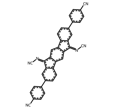 N#C/N=c1\c2cc(-c3ccc(C#N)cc3)ccc2c2cc3/c(=N/C#N)c4cc(-c5ccc(C#N)cc5)ccc4c3cc12